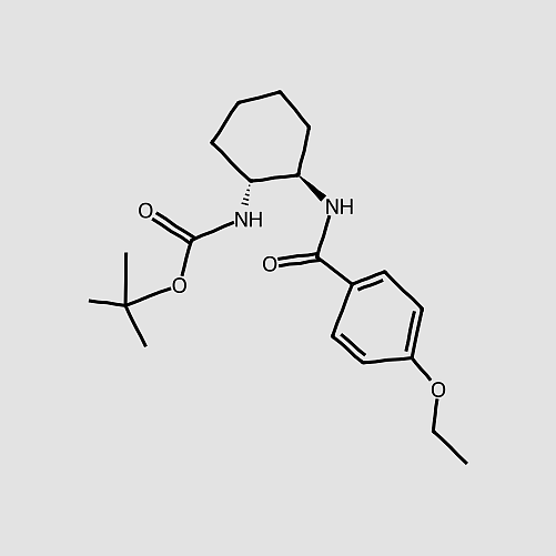 CCOc1ccc(C(=O)N[C@@H]2CCCC[C@H]2NC(=O)OC(C)(C)C)cc1